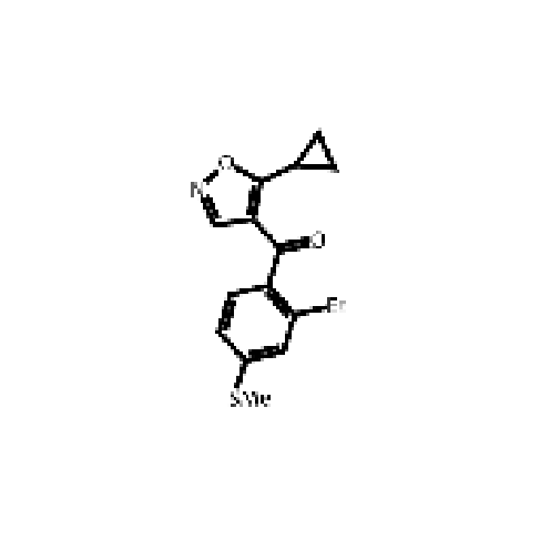 CCc1cc(SC)ccc1C(=O)c1cnoc1C1CC1